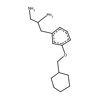 NCC(P)Cc1cccc(OCC2CCCCC2)c1